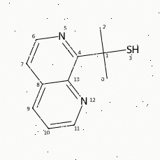 CC(C)(S)c1nccc2cccnc12